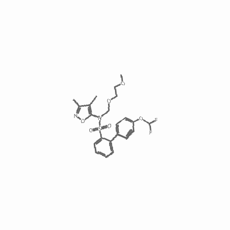 COCCOCN(c1onc(C)c1C)S(=O)(=O)c1ccccc1-c1ccc(OC(F)F)cc1